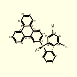 O=P(c1ccccc1)(c1cc(F)cc(F)c1)c1ccc2c3ccccc3c3ccccc3c2c1